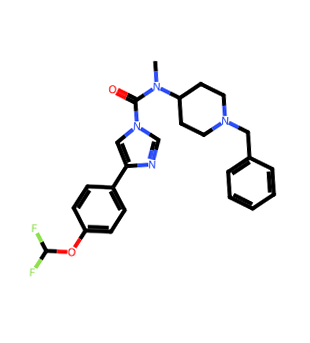 CN(C(=O)n1cnc(-c2ccc(OC(F)F)cc2)c1)C1CCN(Cc2ccccc2)CC1